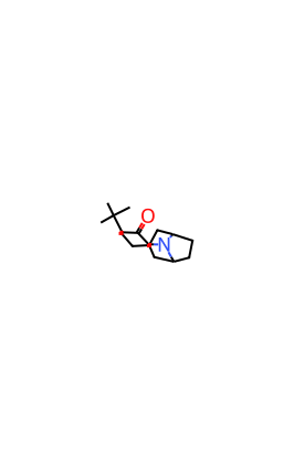 CCC1CC2CCC(C1)N2CC(=O)CC(C)(C)C